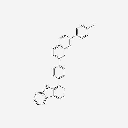 Ic1ccc(-c2ccc3ccc(-c4ccc(-c5cccc6c5sc5ccccc56)cc4)cc3c2)cc1